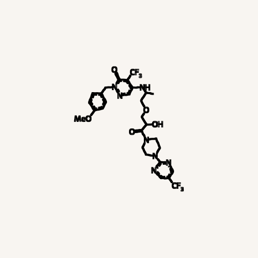 COc1ccc(Cn2ncc(NC(C)COCC(O)C(=O)N3CCN(c4ncc(C(F)(F)F)cn4)CC3)c(C(F)(F)F)c2=O)cc1